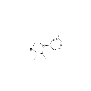 CC1[C@H](C)NCCN1c1cccc(Cl)c1